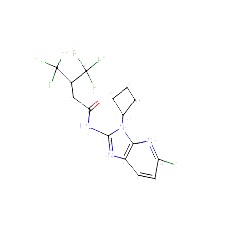 O=C(CC(C(F)(F)F)C(F)(F)F)Nc1nc2ccc(Cl)nc2n1C1CCC1